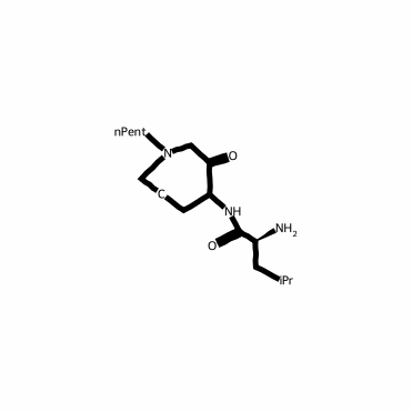 CCCCCN1CCCC(NC(=O)[C@@H](N)CC(C)C)C(=O)C1